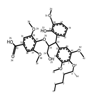 CCCC[C@@H](C)Oc1c(OC)cc(C(c2cccc(OC)c2O)C(CO)Oc2c(OC)cc(C(=O)O)cc2OC)cc1OC